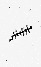 C=CC(F)(F)C(F)(F)C(F)(F)C(F)(F)C(F)(F)C(F)(F)CCI